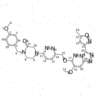 COc1ccc(CN2CCN(c3ccc(COc4nn5c(-c6cc(C)on6)nnc5cc4OC)nn3)CC2=O)cc1